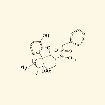 CC(=O)O[C@@]12CCC(N(C)S(=O)(=O)Cc3ccccc3)C3Oc4c(O)ccc5c4[C@@]31CCN(C)[C@@H]2C5